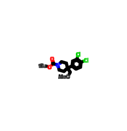 COCC1(c2ccc(Cl)c(Cl)c2)CCN(C(=O)OC(C)(C)C)CC1